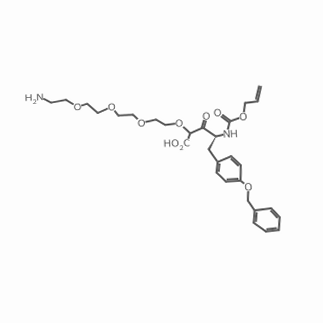 C=CCOC(=O)N[C@@H](Cc1ccc(OCc2ccccc2)cc1)C(=O)C(OCCOCCOCCOCCN)C(=O)O